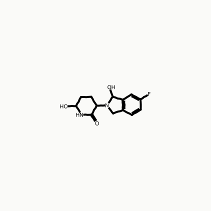 O=C1NC(O)CCC1N1Cc2ccc(F)cc2C1O